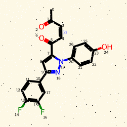 CC(=O)/C=C\C(=O)c1cc(-c2ccc(F)c(F)c2)nn1-c1ccc(O)cc1